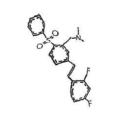 CN(C)Cc1cc(C=Cc2ccc(F)cc2F)ccc1S(=O)(=O)c1ccccc1